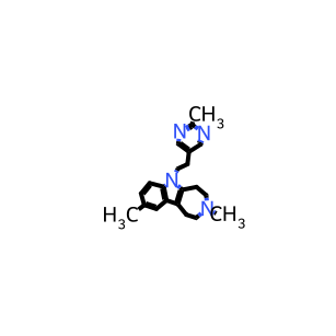 Cc1ccc2c(c1)c1c(n2CCc2cnc(C)nc2)CCN(C)CC1